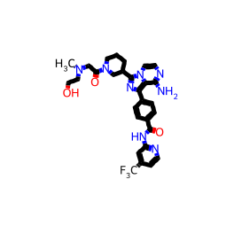 CN(CCO)CC(=O)N1CCCC(c2nc(-c3ccc(C(=O)Nc4cc(C(F)(F)F)ccn4)cc3)c3c(N)nccn23)C1